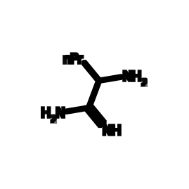 [CH2]CCC(N)C(=N)N